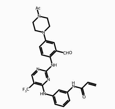 C=CC(=O)Nc1cccc(Nc2nc(Nc3ccc(N4CCN(C(C)=O)CC4)cc3C=O)ncc2C(F)(F)F)c1